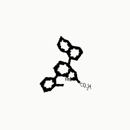 Cc1ccccc1-c1ccc(-c2cccc3ccccc23)c2cc(C(=O)O)[nH]c12